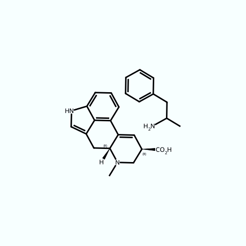 CC(N)Cc1ccccc1.CN1C[C@H](C(=O)O)C=C2c3cccc4[nH]cc(c34)C[C@H]21